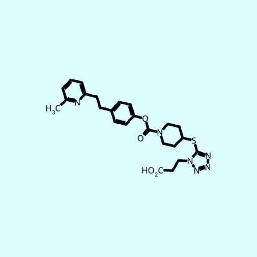 Cc1cccc(CCc2ccc(OC(=O)N3CCC(Sc4nnnn4CCC(=O)O)CC3)cc2)n1